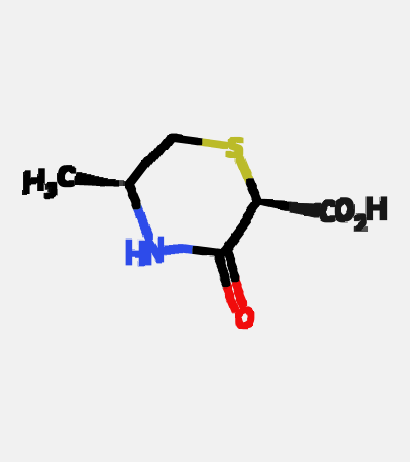 C[C@@H]1CS[C@@H](C(=O)O)C(=O)N1